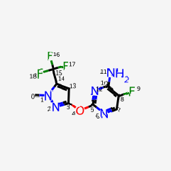 Cn1nc(Oc2ncc(F)c(N)n2)cc1C(F)(F)F